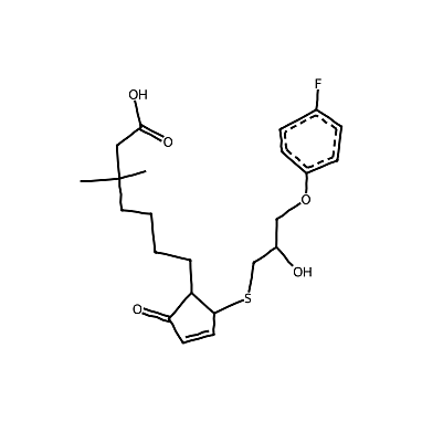 CC(C)(CCCCC1C(=O)C=CC1SCC(O)COc1ccc(F)cc1)CC(=O)O